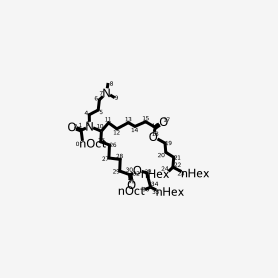 CCCCCCCCC(=O)N(CCCN(C)C)C(CCCCCC(=O)OCCCC(CCCCCC)CCCCCC)CCCCCC(=O)OCC(CCCCCC)CCCCCCCC